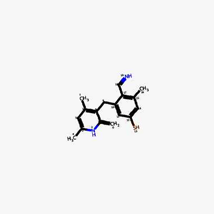 C=C1NC(C)=CC(C)=C1Cc1cc(S)cc(C)c1C=N